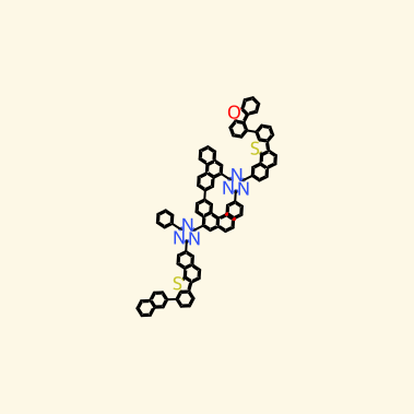 c1ccc(-c2nc(-c3ccc4ccc5c6cccc(-c7cccc8oc9ccccc9c78)c6sc5c4c3)nc(-c3cc4ccccc4c4ccc(-c5ccc6c(-c7nc(-c8ccccc8)nc(-c8ccc9c(ccc%10c%11cccc(-c%12ccc%13ccccc%13c%12)c%11sc9%10)c8)n7)cc7ccccc7c6c5)cc34)n2)cc1